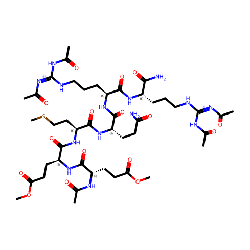 COC(=O)CC[C@H](NC(C)=O)C(=O)N[C@@H](CCC(=O)OC)C(=O)N[C@@H](CCSC)C(=O)N[C@@H](CCC(N)=O)C(=O)N[C@@H](CCCN/C(=N\C(C)=O)NC(C)=O)C(=O)N[C@@H](CCCN/C(=N/C(C)=O)NC(C)=O)C(N)=O